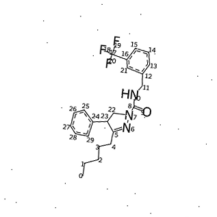 CCCCCC1=NN(C(=O)NCc2cccc(C(F)(F)F)c2)CC1c1ccccc1